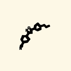 CCCc1ccc(-c2cc(-c3ccc(C#N)cc3)no2)cc1